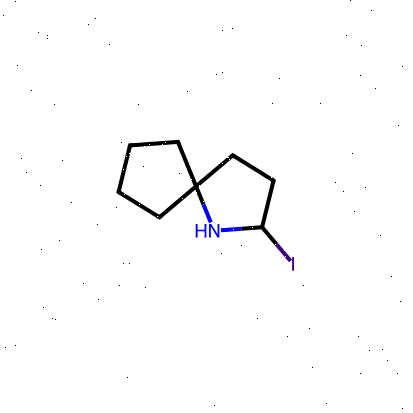 IC1CCC2(CCCC2)N1